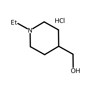 CCN1CCC(CO)CC1.Cl